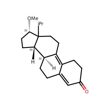 CO[C@H]1CC[C@H]2[C@@H]3CCC4=CC(=O)CCC4=C3CCC12C(C)C